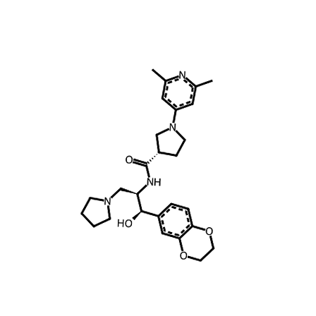 Cc1cc(N2CC[C@H](C(=O)N[C@H](CN3CCCC3)[C@H](O)c3ccc4c(c3)OCCO4)C2)cc(C)n1